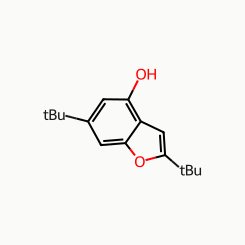 CC(C)(C)c1cc(O)c2cc(C(C)(C)C)oc2c1